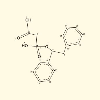 O=C(O)CP(=O)(O)OC(Cc1ccccc1)c1ccccc1